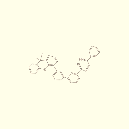 CC1(C)c2ccccc2Sc2c(-c3cccc(-c4cccc(C(=N)/C=C\C(=N)c5ccccc5)c4)c3)cccc21